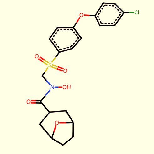 O=C(C1CC2CCC(C1)O2)N(O)CS(=O)(=O)c1ccc(Oc2ccc(Cl)cc2)cc1